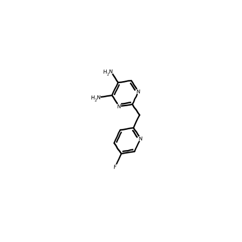 Nc1cnc(Cc2ccc(F)cn2)nc1N